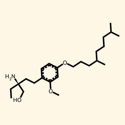 CC[C@@](N)(CO)CCc1ccc(OCCCC(C)CCCC(C)C)cc1OC